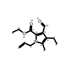 C=CCn1c(C)c(CC)c(C=O)c1C(=O)OCC